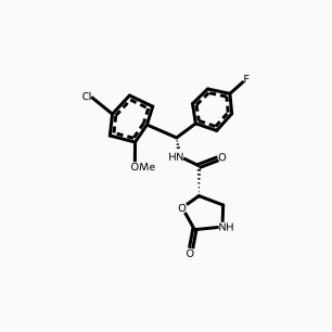 COc1cc(Cl)ccc1[C@@H](NC(=O)[C@@H]1CNC(=O)O1)c1ccc(F)cc1